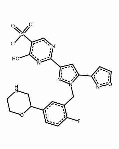 O=S(=O)(Cl)c1cnc(-c2cc(-c3ccon3)n(Cc3cc(C4CNCCO4)ccc3F)n2)nc1O